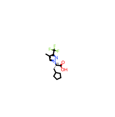 Cc1cn([C@@H](CC2CCCC2)C(=O)O)nc1C(F)(F)F